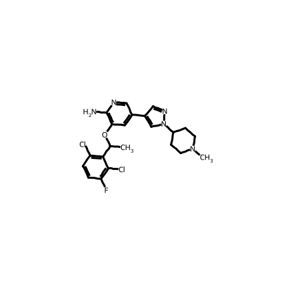 CC(Oc1cc(-c2cnn(C3CCN(C)CC3)c2)cnc1N)c1c(Cl)ccc(F)c1Cl